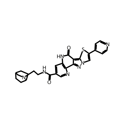 O=C(NCCN1CC2CCC1CC2)c1cnc2c(c1)[nH]c(=O)c1c2nn2cc(-c3ccncc3)sc12